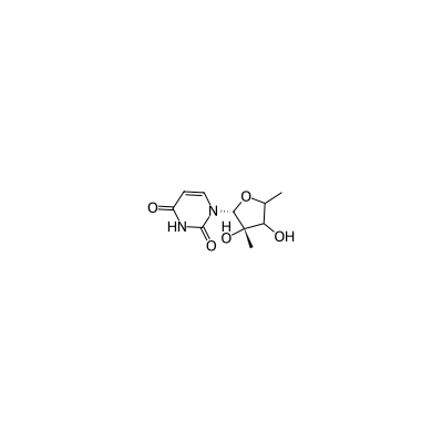 CC1O[C@@H](n2ccc(=O)[nH]c2=O)[C@@](C)(O)C1O